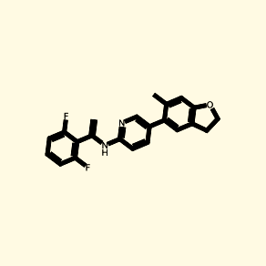 C=C(Nc1ccc(-c2cc3c(cc2C)OCC3)cn1)c1c(F)cccc1F